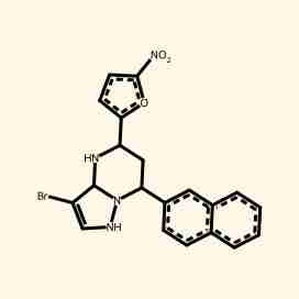 O=[N+]([O-])c1ccc(C2CC(c3ccc4ccccc4c3)N3NC=C(Br)C3N2)o1